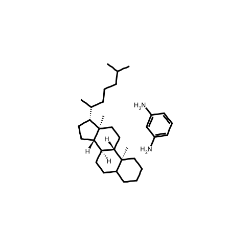 CC(C)CCCC(C)[C@H]1CC[C@H]2[C@@H]3CCC4CCCC[C@]4(C)[C@H]3CC[C@]12C.Nc1cccc(N)c1